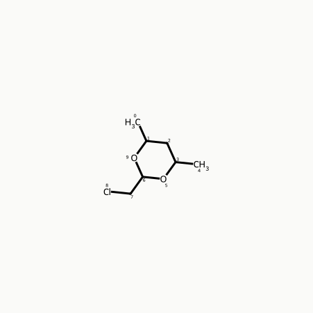 CC1CC(C)OC(CCl)O1